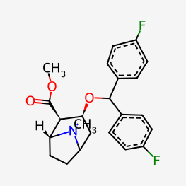 COC(=O)[C@H]1[C@@H](OC(c2ccc(F)cc2)c2ccc(F)cc2)CC2CC[C@H]1N2C